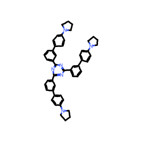 c1cc(-c2ccc(N3CCCC3)cc2)cc(-c2nc(-c3cccc(-c4ccc(N5CCCC5)cc4)c3)nc(-c3cccc(-c4ccc(N5CCCC5)cc4)c3)n2)c1